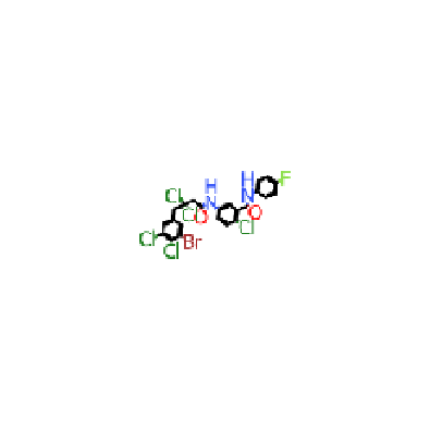 O=C(CC(Cl)(Cl)Cc1cc(Cl)c(Cl)c(Br)c1)Nc1ccc(Cl)c(C(=O)Nc2ccc(F)cc2)c1